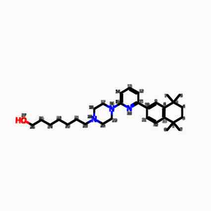 CC1(C)CCC(C)(C)c2cc(-c3cccc(N4CCN(CCCCCCCO)CC4)n3)ccc21